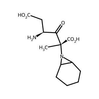 C[C@](C(=O)O)(C(=O)[C@@H](N)CC(=O)O)N1C2CCCCC21